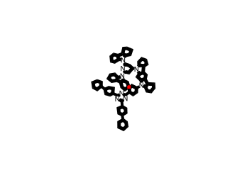 c1ccc(-c2ccc(-c3nc(-c4ccc(-c5ccccc5)cc4)nc(-c4ccc(-n5c6ccccc6c6cc7c8ccccc8n(-c8cc(-n9c%10ccccc%10c%10ccccc%109)nc(-n9c%10ccccc%10c%10ccccc%109)c8)c7cc65)cc4)n3)cc2)cc1